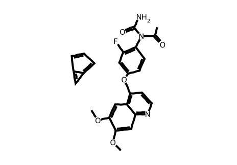 COc1cc2nccc(Oc3ccc(N(C(C)=O)C(N)=O)c(F)c3)c2cc1OC.c1cc2cc-2c1